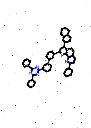 c1ccc(-c2ccc3ccc4c(-c5ccc6ccccc6c5)cc(-c5cccc(-c6cccc(-c7nc(-c8ccccc8)nc(-c8ccccc8)n7)c6)c5)nc4c3n2)cc1